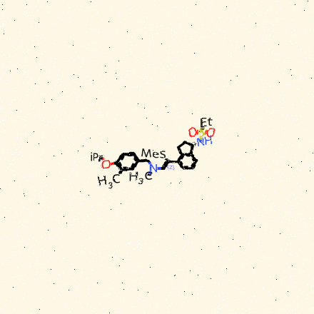 CCS(=O)(=O)N[C@H]1CCc2c(/C(=C/N(C)Cc3ccc(OC(C)C)c(C)c3)SC)cccc21